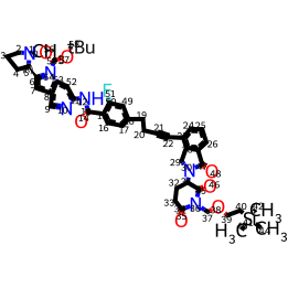 CN1CCC[C@@H]1c1cc2cnc(NC(=O)c3ccc(CCC#Cc4cccc5c4CN(C4CCC(=O)N(COCC[Si](C)(C)C)C4=O)C5=O)cc3F)cc2n1C(=O)OC(C)(C)C